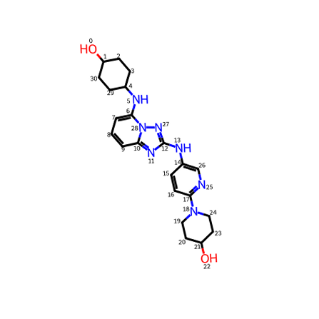 OC1CCC(Nc2cccc3nc(Nc4ccc(N5CCC(O)CC5)nc4)nn23)CC1